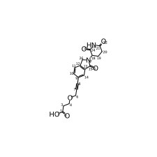 O=C(O)CCOCC#Cc1ccc2c(c1)C(=O)N(C1CCC(=O)NC1=O)C2